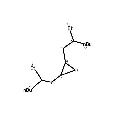 CCCCC(CC)C[C]1CC1CC(CC)CCCC